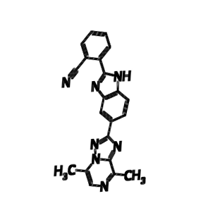 Cc1ncc(C)n2nc(-c3ccc4[nH]c(-c5ccccc5C#N)nc4c3)nc12